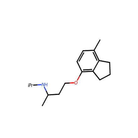 Cc1ccc(OCCC(C)NC(C)C)c2c1CCC2